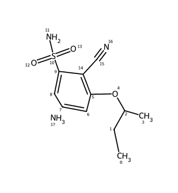 CCC(C)Oc1cccc(S(N)(=O)=O)c1C#N.N